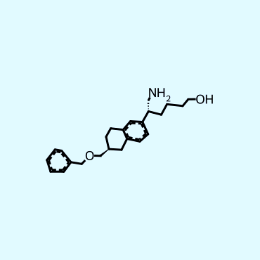 NC[C@H](CCCCO)c1ccc2c(c1)CC[C@H](COCc1ccccc1)C2